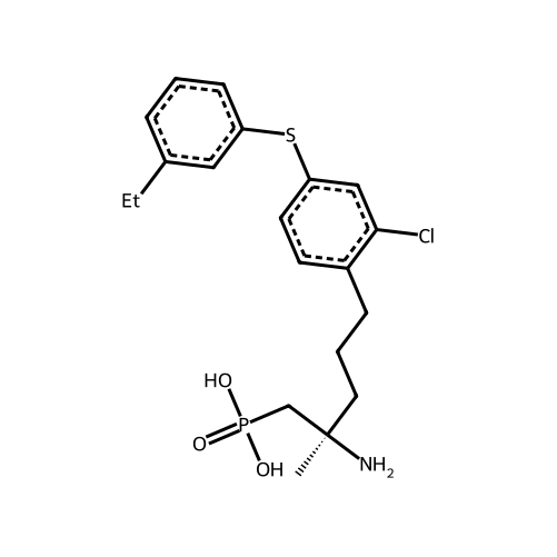 CCc1cccc(Sc2ccc(CCC[C@@](C)(N)CP(=O)(O)O)c(Cl)c2)c1